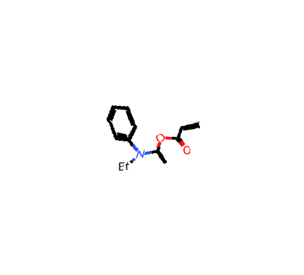 C=CC(=O)OC(C)N(CC)c1ccccc1